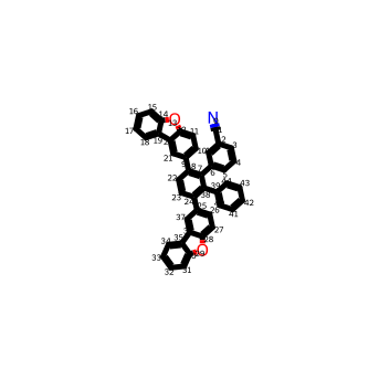 N#Cc1cccc(-c2c(-c3ccc4oc5ccccc5c4c3)ccc(-c3ccc4oc5ccccc5c4c3)c2-c2ccccc2)c1